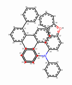 c1ccc(-c2ccccc2-c2c(-c3ccccc3)cccc2-c2cccc(N(c3ccccc3)c3ccc4oc5ccccc5c4c3)c2)cc1